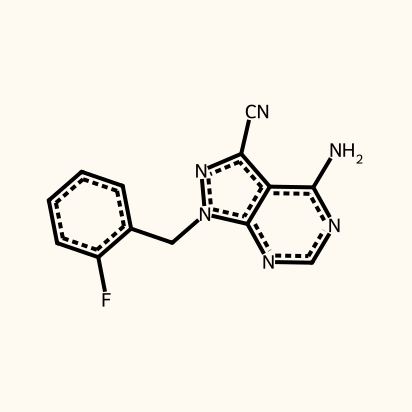 N#Cc1nn(Cc2ccccc2F)c2ncnc(N)c12